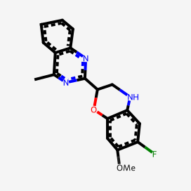 COc1cc2c(cc1F)NCC(c1nc(C)c3ccccc3n1)O2